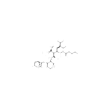 CCCCC(Cl)CNC(/C=C(\CC)C(C)C)C(C(=O)NC1CNCCC1OC1CN2CCC1C2)/C(N)=N\C